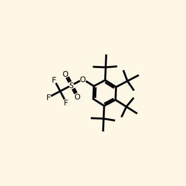 CC(C)(C)c1cc(OS(=O)(=O)C(F)(F)F)c(C(C)(C)C)c(C(C)(C)C)c1C(C)(C)C